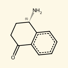 N[C@H]1CCC(=O)c2ccccc21